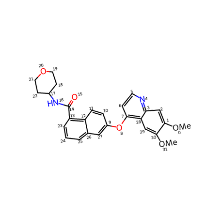 COc1cc2nccc(Oc3ccc4c(C(=O)NC5CCOCC5)cccc4c3)c2cc1OC